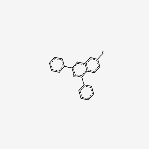 Fc1ccc2c(-c3ccccc3)nc(-c3ccccc3)cc2c1